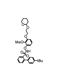 COc1c(OCCOC2CCCCO2)cccc1ONS(=O)(=O)c1ccccc1-c1ccc(C(C)(C)C)cc1